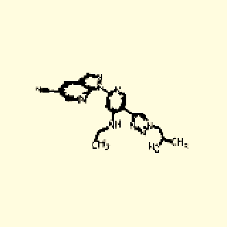 CCNc1cc(-n2ncc3cc(C#N)cnc32)ncc1-c1cn(CC(C)O)nn1